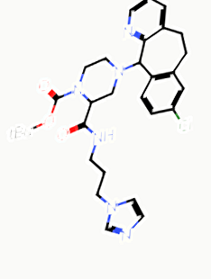 CC(C)(C)OC(=O)N1CCN(C2c3ccc(Cl)cc3CCc3cccnc32)CC1C(=O)NCCCn1ccnc1